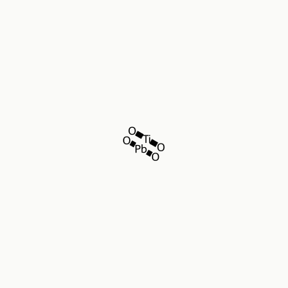 [O]=[Pb]=[O].[O]=[Ti]=[O]